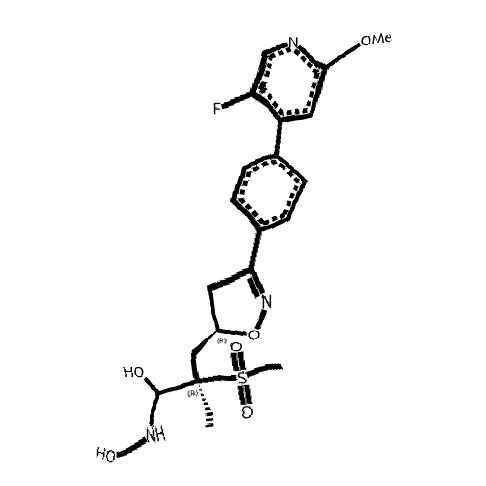 COc1cc(-c2ccc(C3=NO[C@@H](C[C@](C)(C(O)NO)S(C)(=O)=O)C3)cc2)c(F)cn1